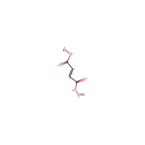 CCOC(=O)/C=C/C(=O)OC=O